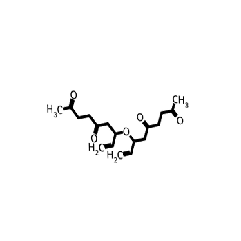 C=CC(CC(=O)CCC(C)=O)OC(C=C)CC(=O)CCC(C)=O